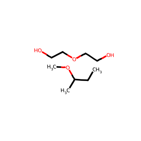 CCC(C)OC.OCCOCCO